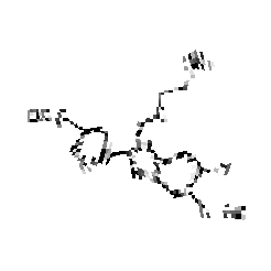 CCOC(=O)c1cnn(-c2nc3cc(NC(C)=O)c(Cl)cc3n2COCCOC)c1